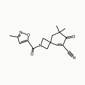 Cc1cc(C(=O)N2CC3(C=C(C#N)C(=O)C(C)(C)C3)C2)on1